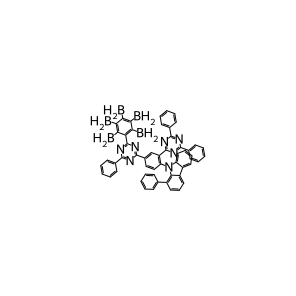 Bc1c(B)c(B)c(-c2nc(-c3ccccc3)nc(-c3ccc(-n4c5ccccc5c5cccc(-c6ccccc6)c54)c(-c4nc(-c5ccccc5)nc(-c5ccccc5)n4)c3)n2)c(B)c1B